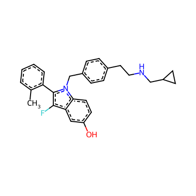 Cc1ccccc1-c1c(F)c2cc(O)ccc2n1Cc1ccc(CCNCC2CC2)cc1